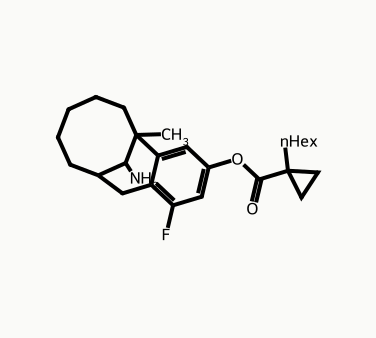 CCCCCCC1(C(=O)Oc2cc(F)c3c(c2)C2(C)CCCCCC(C3)C2N)CC1